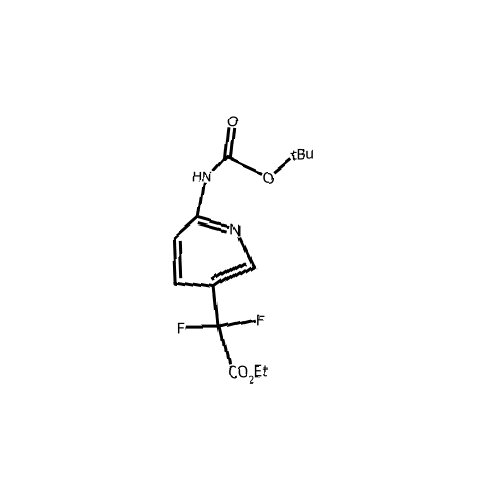 CCOC(=O)C(F)(F)c1ccc(NC(=O)OC(C)(C)C)nc1